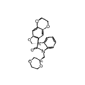 O=C1N(C[C@@H]2COCCO2)c2ccccc2[C@@]12COc1cc3c(cc12)OCCO3